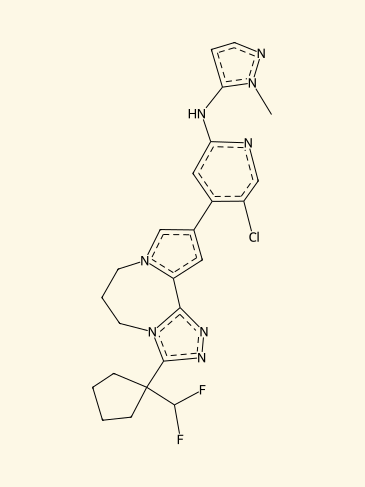 Cn1nccc1Nc1cc(-c2cc3n(c2)CCCn2c-3nnc2C2(C(F)F)CCCC2)c(Cl)cn1